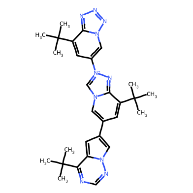 CC(C)(C)c1cc(-c2cc3c(C(C)(C)C)ncnn3c2)cn2c[n+](-c3cc(C(C)(C)C)c4nnnn4c3)nc12